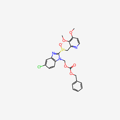 COc1ccnc(C[S+]([O-])c2nc3cc(Cl)ccc3n2COC(=O)OCc2ccccc2)c1OC